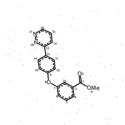 COC(=O)c1cccc(Oc2ccc(-c3cccnn3)cc2)c1